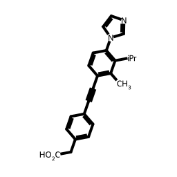 Cc1c(C#Cc2ccc(CC(=O)O)cc2)ccc(-n2ccnc2)c1C(C)C